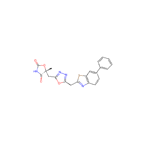 C[C@]1(Cc2nnc(Cc3nc4ccc(-c5ccccc5)cc4s3)o2)OC(=O)NC1=O